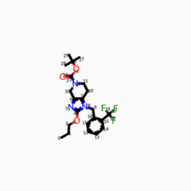 CCCOc1nc2c(n1Cc1ccccc1C(F)(F)F)CCN(C(=O)OC(C)(C)C)C2